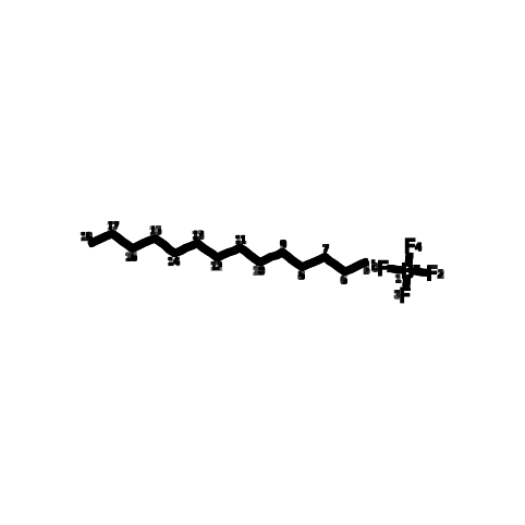 F[B-](F)(F)F.[CH2]CCCCCCCCCCCCC